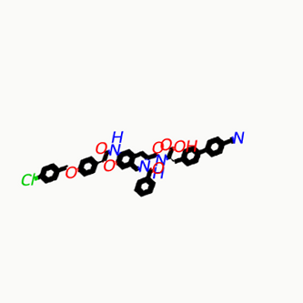 N#Cc1ccc(-c2ccc(C[C@H](NC(=O)C3Cc4cc5c(cc4CN3C(=O)c3ccccc3)O[C@@H](c3ccc(OCc4ccc(Cl)cc4)cc3)C(=O)N5)C(=O)O)cc2)cc1